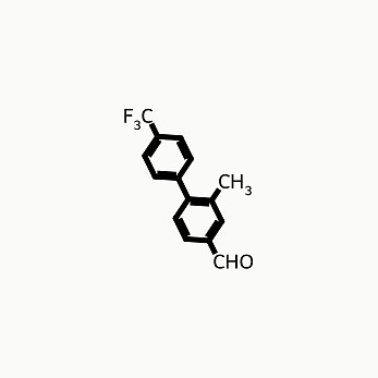 Cc1cc(C=O)ccc1-c1ccc(C(F)(F)F)cc1